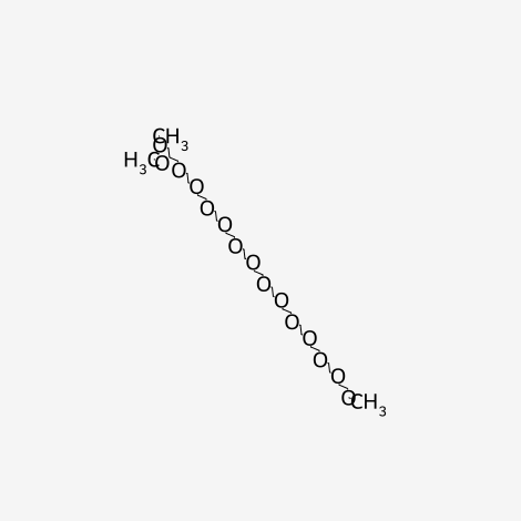 COCCOCCOCCOCCOCCOCCOCCOCCOCCOCCOCCOCCOCC(COC)OC